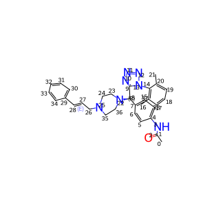 CC(=O)Nc1ccc([C@H](c2nnnn2-c2c(C)cccc2C)N2CCN(C/C=C/c3ccccc3)CC2)cc1